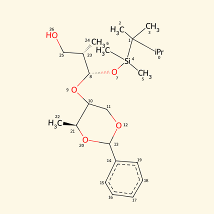 CC(C)C(C)(C)[Si](C)(C)O[C@H](OC1COC(c2ccccc2)O[C@H]1C)[C@@H](C)CO